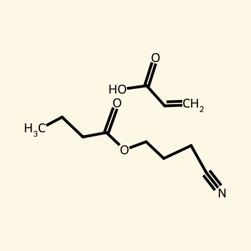 C=CC(=O)O.CCCC(=O)OCCCC#N